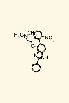 CN(C)CCOc1c(-c2ccccc2[N+](=O)[O-])ccc2[nH]c(-c3ccccc3)nc12